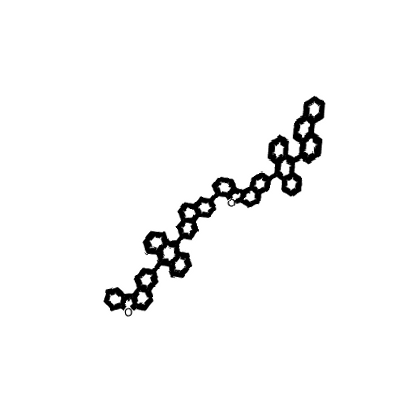 c1ccc2c(c1)ccc1c(-c3c4ccccc4c(-c4ccc5c(ccc6oc7c(-c8ccc9c(ccc%10cc(-c%11c%12ccccc%12c(-c%12ccc%13c(ccc%14oc%15ccccc%15c%14%13)c%12)c%12ccccc%11%12)ccc%109)c8)cccc7c65)c4)c4ccccc34)cccc12